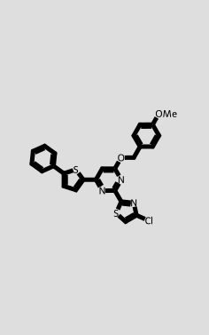 COc1ccc(COc2cc(-c3ccc(-c4ccccc4)s3)nc(-c3nc(Cl)cs3)n2)cc1